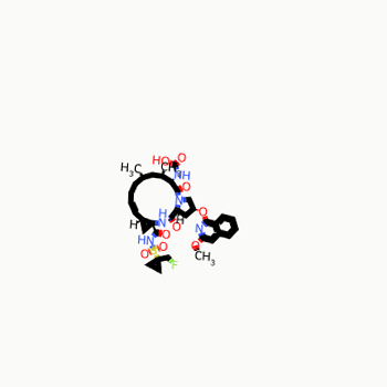 COc1cc2ccccc2c(O[C@@H]2C[C@H]3C(=O)N[C@]4(C(=O)NS(=O)(=O)C5(CF)CC5)C[C@H]4/C=C\CC[C@@H](C)C[C@@H](C)[C@H](NC(=O)O)C(=O)N3C2)n1